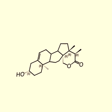 C[C@H]1C(=O)OC[C@]23CCC4C(CC=C5C[C@@H](O)CC[C@@]54C)C2CC[C@]13C